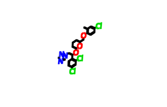 Cc1cc(Cl)ccc1OCC1CCCC(OC(Cn2cncn2)c2ccc(Cl)cc2Cl)O1